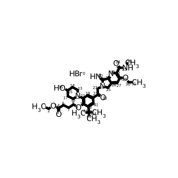 Br.CCOC(=O)CCCOc1c(N2CCC(O)CC2)cc(C(=O)CN2Cc3cc(OCC)c(C(=O)NC)nc3C2=N)cc1C(C)(C)C